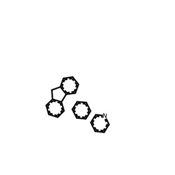 c1ccc2c(c1)Cc1ccccc1-2.c1ccccc1.c1ccncc1